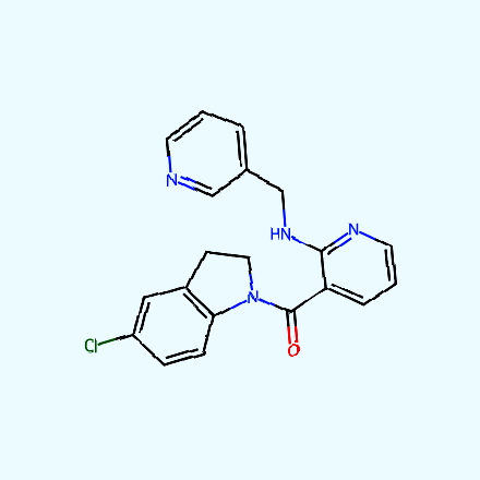 O=C(c1cccnc1NCc1cccnc1)N1CCc2cc(Cl)ccc21